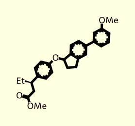 CC[C@H](CC(=O)OC)c1ccc(OC2CCc3cc(-c4cccc(OC)c4)ccc32)cc1